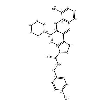 C=C1c2scc(C(=O)NCc3ccc(C(F)(F)F)cc3)c2N=C(N2CCCCC2)N1Cc1ccccc1C#N